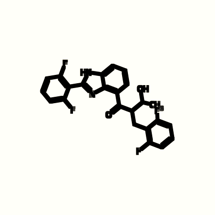 CC(O)C(Cc1c(F)cccc1F)C(=O)c1cccc2[nH]c(-c3c(F)cccc3F)nc12